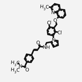 Cc1ccc2cccc(OCc3c(Cl)ccc(-n4cccc4CNC(=O)/C=C/c4ccc(C(=O)N(C)C)cc4)c3Cl)c2n1